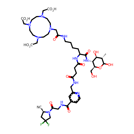 C[C@@H]1C(O)O[C@@H](CO)[C@H](NC(=O)C(CCCCNC(=O)CN2CCN(CC(=O)O)CCN(CC(=O)O)CCN(CC(=O)O)CC2)NC(=O)CCC(=O)NCc2cc(C(=O)NCC(=O)N3CC(F)(F)C[C@H]3C#N)ccn2)[C@H]1O